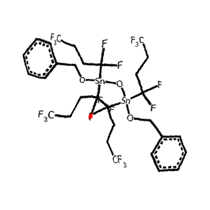 FC(F)(F)CC[C](F)(F)[Sn]([O]Cc1ccccc1)([O][Sn]([O]Cc1ccccc1)([C](F)(F)CCC(F)(F)F)[C](F)(F)CCC(F)(F)F)[C](F)(F)CCC(F)(F)F